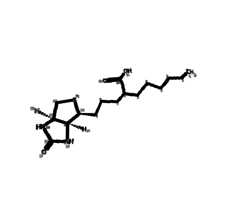 CCCCCCC(CCC[C@@H]1SC[C@@H]2NC(=O)N[C@@H]21)C(=O)O